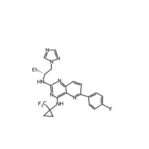 CC[C@H](Cn1cncn1)Nc1nc(NC2(C(F)(F)F)CC2)c2nc(-c3ccc(F)cc3)ccc2n1